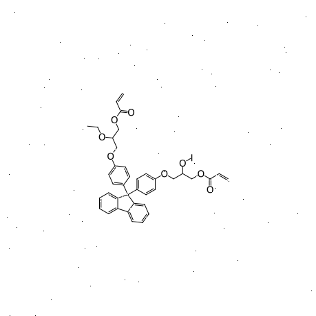 C=CC(=O)OCC(COc1ccc(C2(c3ccc(OCC(COC(=O)C=C)OCC)cc3)c3ccccc3-c3ccccc32)cc1)OI